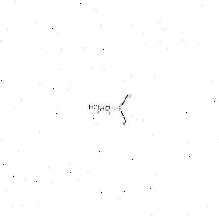 C[P]C.Cl.Cl